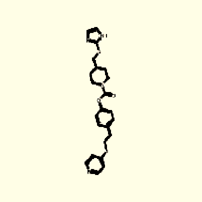 O=C(Oc1ccc(CCSc2ccncc2)cc1)N1CCC(CSc2ncc[nH]2)CC1